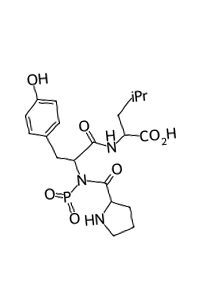 CC(C)CC(NC(=O)C(Cc1ccc(O)cc1)N(C(=O)C1CCCN1)P(=O)=O)C(=O)O